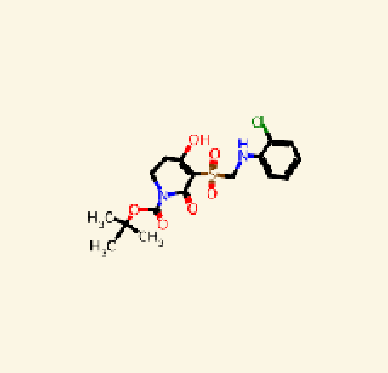 CC(C)(C)OC(=O)N1CCC(O)=C(S(=O)(=O)CNc2ccccc2Cl)C1=O